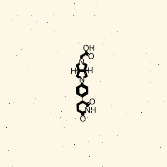 O=C(O)CN1C[C@@H]2CN(c3ccc([C@H]4CCC(=O)NC4=O)cc3)C[C@H]2C1